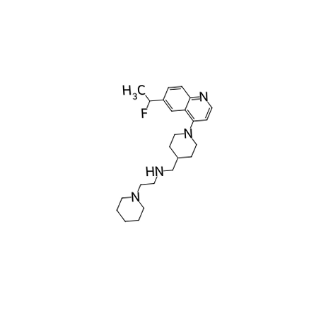 CC(F)c1ccc2nccc(N3CCC(CNCCN4CCCCC4)CC3)c2c1